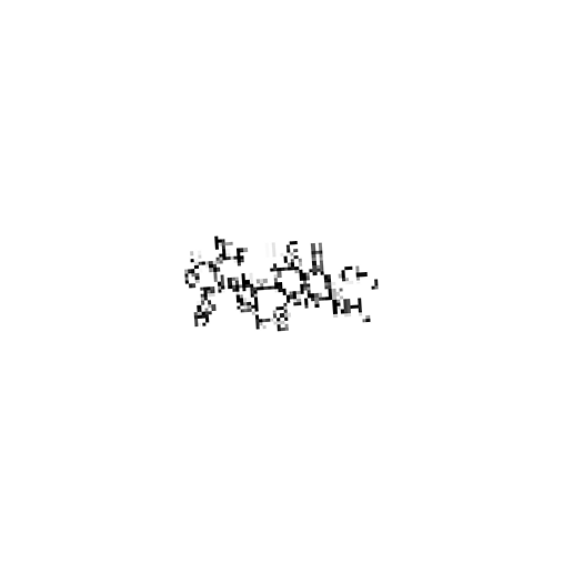 Cc1cc2c(cc1N[C@@H](C)C(N)=O)OCCn1cc(N3C(=C=O)OC[C@H]3C(F)F)nc1-2